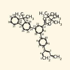 C=C/C=C(\C=C)c1ccc(-c2cc(B3OC(C)(C)C(C)(C)O3)cc(-c3ccc4c(c3)C(C)(C)c3ccccc3-4)c2)cc1